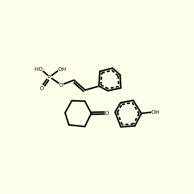 O=C1CCCCC1.O=P(O)(O)O/C=C/c1ccccc1.Oc1ccccc1